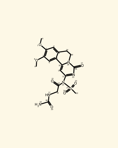 COc1cc2c(cc1OC)-c1cc(N(C(=O)CNC(N)=O)S(C)(=O)=O)nc(=O)n1CC2